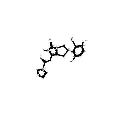 Cn1c(CC(=O)n2ccnc2)c2n(c1=S)C[C@@H](c1c(F)ccc(F)c1F)C2